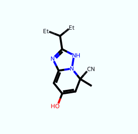 CCC(CC)C1=NC2=CC(O)=CC(C)(C#N)N2N1